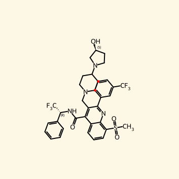 CS(=O)(=O)c1cccc2c(C(=O)N[C@H](c3ccccc3)C(F)(F)F)c(CN3CCC(N4CC[C@H](O)C4)CC3)c(-c3cccc(C(F)(F)F)c3)nc12